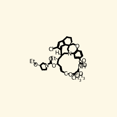 CCO[C@H]1CCN(C(=O)O[C@H]2/C=C/COC(C)(C)C(=O)NS(=O)(=O)c3ccc4c(c3)N3C[C@H](c5cc6c(cc5Cl)CCC[C@@]6(CO4)C3)[C@H]2CC)C1